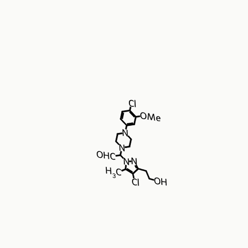 COc1cc(N2CCN(C(C=O)n3nc(CCO)c(Cl)c3C)CC2)ccc1Cl